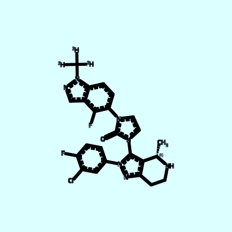 [2H]C([2H])([2H])n1ncc2c(F)c(-n3ccn(-c4c5c(nn4-c4ccc(F)c(Cl)c4)CCN[C@H]5C)c3=O)ccc21